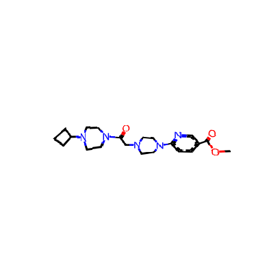 COC(=O)c1ccc(N2CCN(CC(=O)N3CCN(C4CCC4)CC3)CC2)nc1